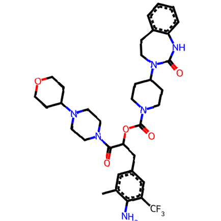 Cc1cc(CC(OC(=O)N2CCC(N3CCc4ccccc4NC3=O)CC2)C(=O)N2CCN(C3CCOCC3)CC2)cc(C(F)(F)F)c1N